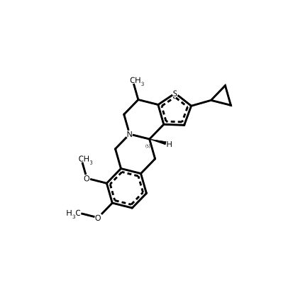 COc1ccc2c(c1OC)CN1CC(C)c3sc(C4CC4)cc3[C@@H]1C2